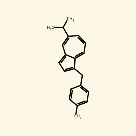 Cc1ccc(Cc2ccc3cc(C(C)C)cccc2-3)cc1